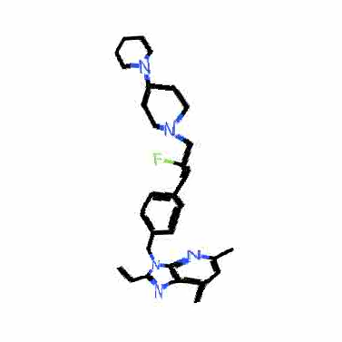 CCc1nc2c(C)cc(C)nc2n1Cc1ccc(/C=C(\F)CN2CCC(N3CCCCC3)CC2)cc1